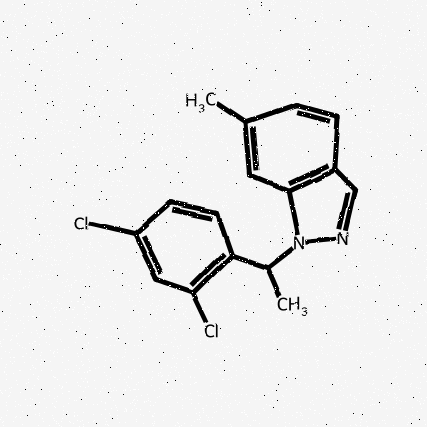 Cc1ccc2cnn(C(C)c3ccc(Cl)cc3Cl)c2c1